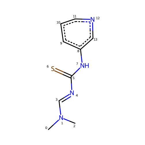 CN(C)/C=N/C(=S)Nc1cccnc1